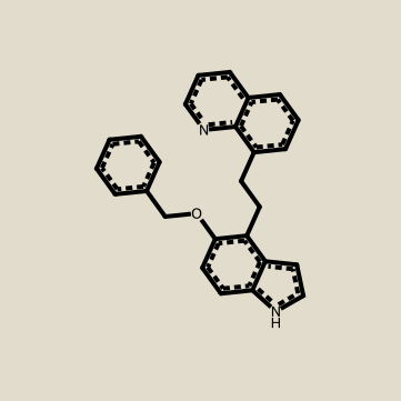 c1ccc(COc2ccc3[nH]ccc3c2CCc2cccc3cccnc23)cc1